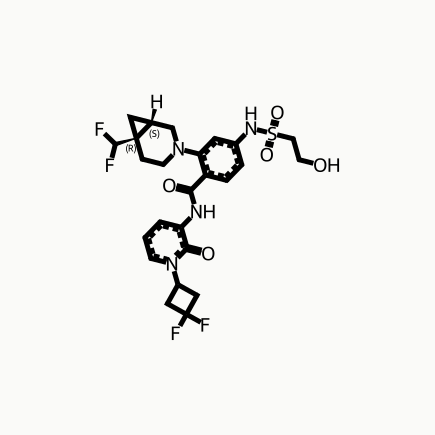 O=C(Nc1cccn(C2CC(F)(F)C2)c1=O)c1ccc(NS(=O)(=O)CCO)cc1N1CC[C@]2(C(F)F)C[C@@H]2C1